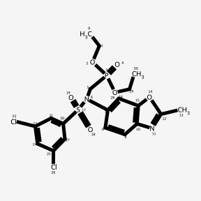 CCOP(=O)(CN(c1ccc2nc(C)oc2c1)S(=O)(=O)c1cc(Cl)cc(Cl)c1)OCC